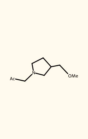 COCC1CCN(CC(C)=O)C1